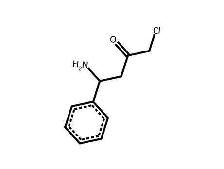 NC(CC(=O)CCl)c1ccccc1